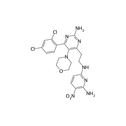 Nc1nc(CCNc2ccc([N+](=O)[O-])c(N)n2)c(N2CCOCC2)c(-c2ccc(Cl)cc2Cl)n1